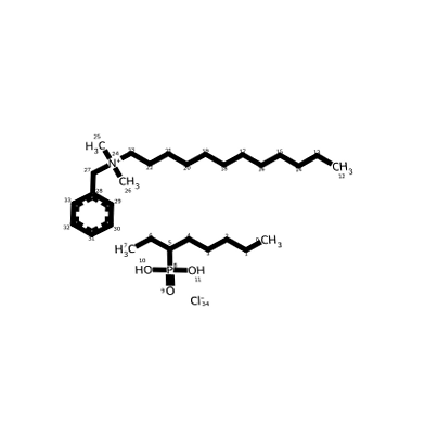 CCCCCC(CC)P(=O)(O)O.CCCCCCCCCCCC[N+](C)(C)Cc1ccccc1.[Cl-]